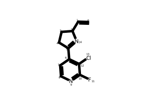 C=CC1CCC(c2ccnc(F)c2Cl)=N1